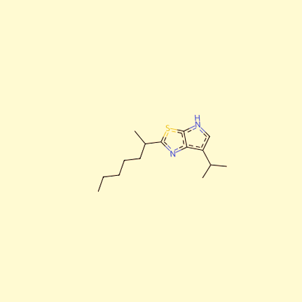 CCCCCC(C)c1nc2c(C(C)C)c[nH]c2s1